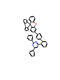 c1ccc(-c2cc(-c3ccccc3-c3ccc(-c4ccc5c(c4)Oc4ccccc4C54c5ccccc5-c5ccccc54)cc3)nc(-c3ccccc3)n2)cc1